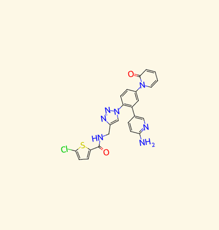 Nc1ccc(-c2cc(-n3ccccc3=O)ccc2-n2cc(CNC(=O)c3ccc(Cl)s3)nn2)cn1